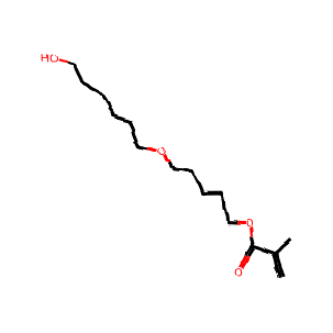 C=C(C)C(=O)OCCCCCOCCCCCCO